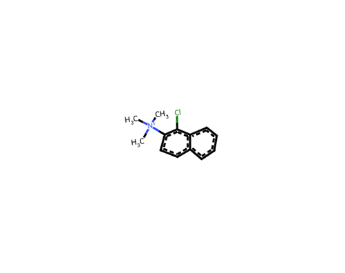 C[N+](C)(C)c1ccc2ccccc2c1Cl